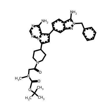 CN(CC(=O)N1CCC(c2cc(-c3ccc4c(N)n(Cc5ccccc5)nc4c3)c3c(N)ncnn23)CC1)C(=O)OC(C)(C)C